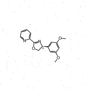 COc1cc(OC)cc([C@H]2COC(c3ccccn3)=N2)c1